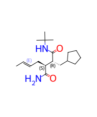 C/C=C/C[C@H](C(N)=O)[C@@H](CC1CCCC1)C(=O)NC(C)(C)C